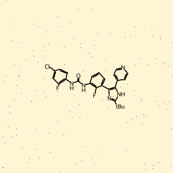 CC(C)(C)c1nc(-c2cccc(NC(=O)Nc3ccc(Cl)cc3F)c2F)c(-c2ccncc2)[nH]1